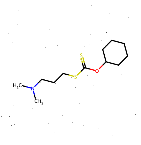 CN(C)CCCSC(=S)OC1CCCCC1